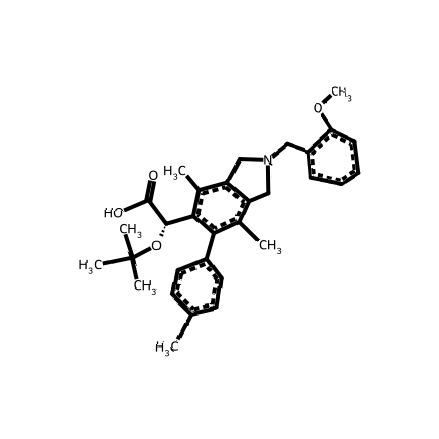 COc1ccccc1CN1Cc2c(C)c(-c3ccc(C)cc3)c([C@H](OC(C)(C)C)C(=O)O)c(C)c2C1